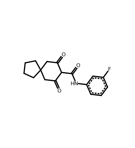 O=C1CC2(CCCC2)CC(=O)C1C(=O)Nc1cccc(F)c1